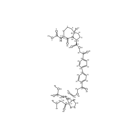 COC(=O)N[C@H]1CCC[C@@H]2CC[C@@H](C(=O)OCC(=O)c3ccc(-c4ccc(C(=O)COC(=O)[C@@H]5CCCS5(N)C(=O)[C@@H](NC(=O)OC)C(C)C)cc4)cc3)N2C1=O